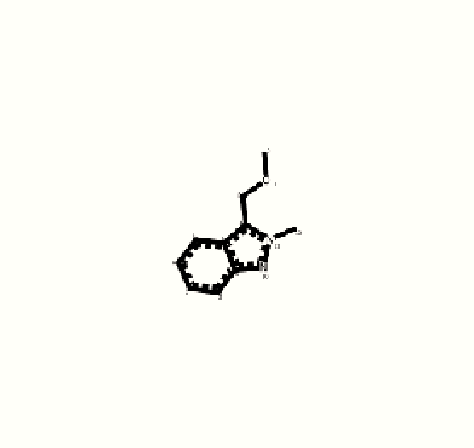 COCc1c2c[c]ccc2nn1C